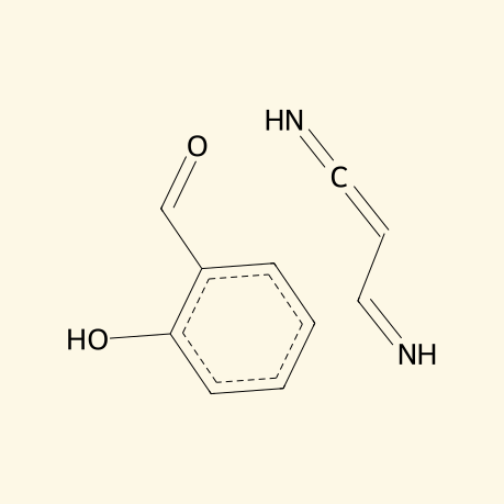 N=C=CC=N.O=Cc1ccccc1O